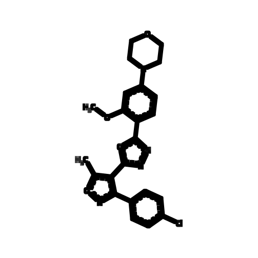 COc1cc(N2CCOCC2)ccc1-c1nnc(-c2c(-c3ccc(Cl)cc3)noc2C)o1